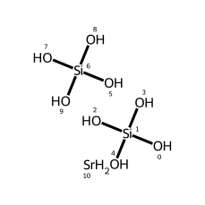 O[Si](O)(O)O.O[Si](O)(O)O.[SrH2]